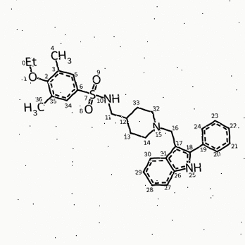 CCOc1c(C)cc(S(=O)(=O)NCC2CCN(Cc3c(-c4ccccc4)[nH]c4ccccc34)CC2)cc1C